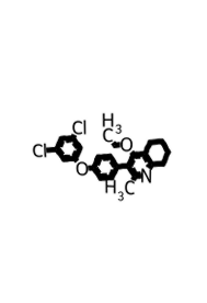 CCOc1c2c(nc(C)c1-c1ccc(Oc3cc(Cl)cc(Cl)c3)cc1)CCCC2